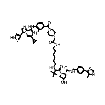 Cc1ncsc1-c1ccc(CNC(=O)[C@@H]2C[C@@H](O)CN2C(=O)[C@@H](NCCCCCCNC(=O)CN2CCN(C(=O)c3ccc(Nc4nc(C5CC5)cn5c(-c6cn[nH]c6)cnc45)c(F)c3)CC2)C(C)(C)C)cc1